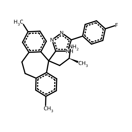 Cc1ccc2c(c1)CCc1cc(C)ccc1C2(C[C@H](C)N)c1nnc(-c2ccc(F)cc2)[nH]1